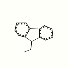 CCC1c2ccccc2-c2ccccc21.[KH]